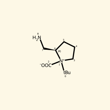 CC(C)(C)[N+]1(C(=O)[O-])CCC[C@@H]1CN